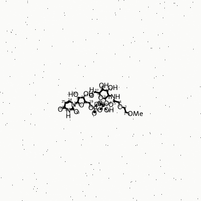 COCCOCC(=O)NC1[C@@H](OP(=O)(O)OP(=O)(O)OCC2OC(n3ccc(=O)[nH]c3=O)[C@H](O)[C@@H]2O)OC(CO)C(O)[C@@H]1O